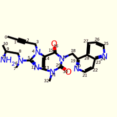 CC#CCn1c(N(C)CC(C)N)nc2c1c(=O)n(Cc1nccc3ncccc13)c(=O)n2C